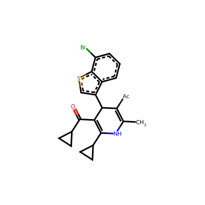 CC(=O)C1=C(C)NC(C2CC2)=C(C(=O)C2CC2)C1c1csc2c(Br)cccc12